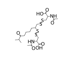 CC(=O)NC(CSSCC(CCCCC(=O)C(C)C)SSCC(NC(C)=O)C(=O)O)C(=O)O